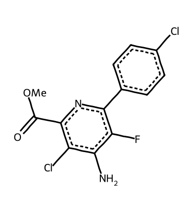 COC(=O)c1nc(-c2ccc(Cl)cc2)c(F)c(N)c1Cl